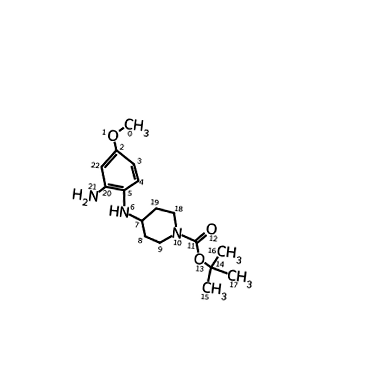 COc1ccc(NC2CCN(C(=O)OC(C)(C)C)CC2)c(N)c1